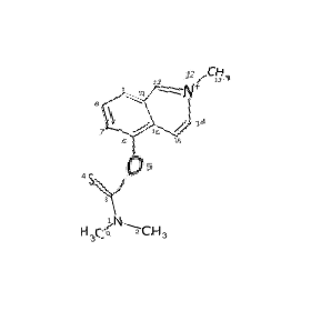 CN(C)C(=S)Oc1cccc2c[n+](C)ccc12